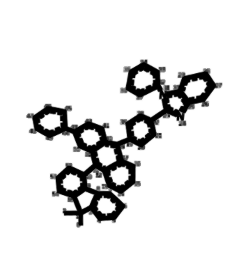 CC1(C)c2ccccc2-c2c(-c3c4ccccc4c(-c4ccc(-c5nc6ccccc6n5-c5ccccc5)cc4)c4ccc(-c5ccccc5)cc34)cccc21